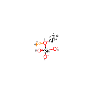 [Al+3].[O-][Si]([O-])([O-])[O-].[P+3].[Ti+4]